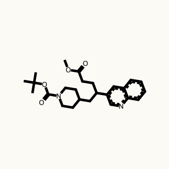 COC(=O)CCC(CC1CCN(C(=O)OC(C)(C)C)CC1)c1cnc2ccccc2c1